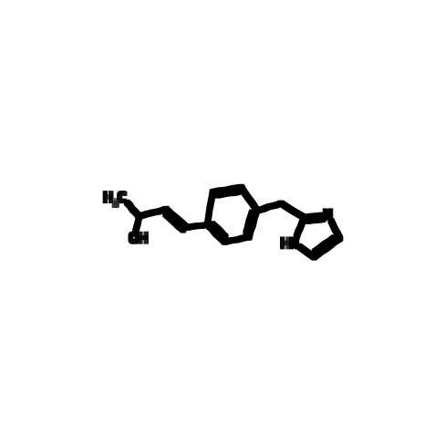 CC(O)C=Cc1ccc(Cc2ncc[nH]2)cc1